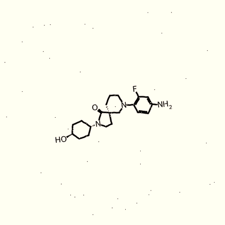 Nc1ccc(N2CCC[C@@]3(CCN([C@H]4CC[C@H](O)CC4)C3=O)C2)c(F)c1